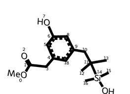 COC(=O)Cc1cc(O)cc(CC(C)(C)[Si](C)(C)O)c1